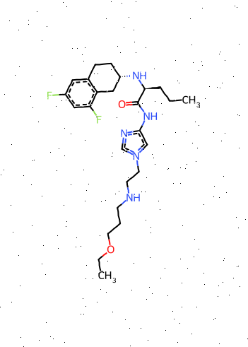 CCC[C@H](N[C@H]1CCc2cc(F)cc(F)c2C1)C(=O)Nc1cn(CCNCCCOCC)cn1